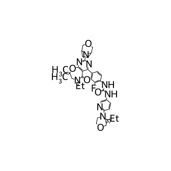 CC[C@H]1COCCN1c1ccc(NC(=O)Nc2ccc(-c3nc(N4C5CCC4COC5)nc4c3C(=O)N(CC)CC(C)(C)O4)cc2F)cn1